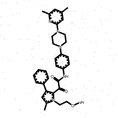 CCCOCCn1c(C)cc(-c2ccccc2)c1C(=O)C(=O)Nc1ccc(N2CCN(c3cc(C)cc(C)n3)CC2)cc1